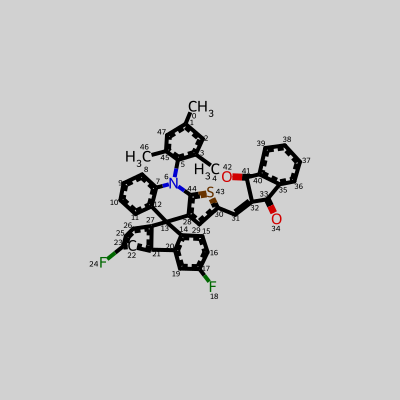 Cc1cc(C)c(N2c3ccccc3C3(c4ccc(F)cc4-c4cc(F)ccc43)c3cc(C=C4C(=O)c5ccccc5C4=O)sc32)c(C)c1